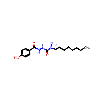 CCCCCCCCN(N)C(=O)NNC(=O)c1ccc(O)cc1